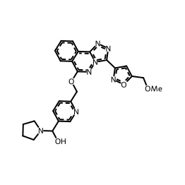 COCc1cc(-c2nnc3c4ccccc4c(OCc4ccc(C(O)N5CCCC5)cn4)nn23)no1